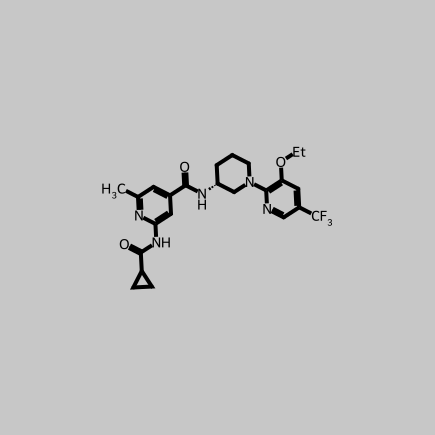 CCOc1cc(C(F)(F)F)cnc1N1CCC[C@@H](NC(=O)c2cc(C)nc(NC(=O)C3CC3)c2)C1